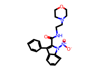 O=C(NCCN1CCOCC1)c1c(-c2ccccc2)c2ccccc2n1[N+](=O)[O-]